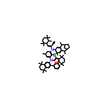 C#C/C(=C\C1C(C)C(C)(C)CCC1(C)C)N1C2=C3B(c4c(oc5c4C(C)(C)CCC5(C)C)N(c4cc5c(cc4-c4ccccc4)C(C)(C)CCC5(C)C)C3=CC(C)C2)C2(C)C=C3C(=CC12)C(C)C1CCC(C1)C3C